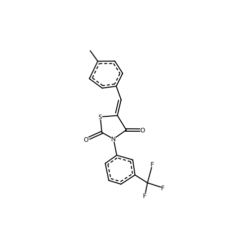 Cc1ccc(/C=C2\SC(=O)N(c3cccc(C(F)(F)F)c3)C2=O)cc1